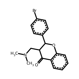 CN(C)CC1C(=O)c2ccccc2OC1c1ccc(Br)cc1